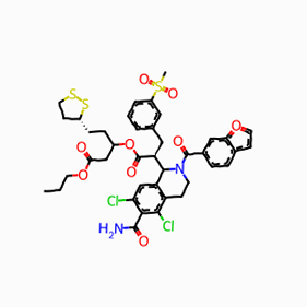 CCCOC(=O)CC(CC[C@@H]1CCSS1)OC(=O)[C@@H](Cc1cccc(S(C)(=O)=O)c1)C1c2cc(Cl)c(C(N)=O)c(Cl)c2CCN1C(=O)c1ccc2ccoc2c1